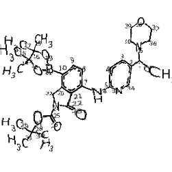 CC(c1ccc(Nc2ccc(B3OC(C)(C)C(C)(C)O3)c3c2C(=O)N(C(=O)OC(C)(C)C)C3)nc1)N1CCOCC1